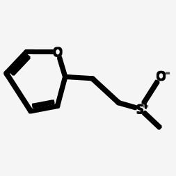 C[S+]([O-])CCC1C=CC=CO1